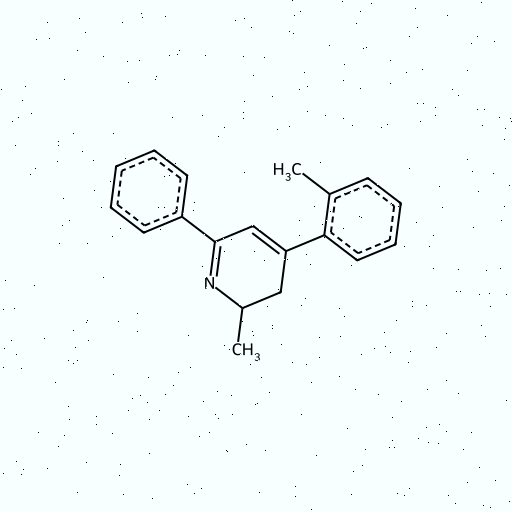 Cc1ccccc1C1=CC(c2ccccc2)=NC(C)C1